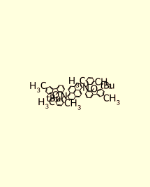 Cc1ccc(C)c(N(c2ccc3ccc4c(N(c5cc(C)ccc5C)c5cccc6c5oc5c(C(C)(C)C)cc(C)cc56)ccc5ccc2c3c54)c2cccc3c2oc2c(C(C)(C)C)cc(C)cc23)c1